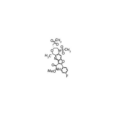 CONC(=O)c1c(-c2ccc(F)cc2)oc2cc3c(nc12)[C@H](C)O[C@H](CS(C)(=O)=O)CN3S(C)(=O)=O